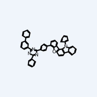 c1ccc(-c2cccc(-c3nc(-c4ccccc4)nc(-c4ccc(-c5cccc6c5oc5ccc7c8ccccc8n(-c8ccccc8)c7c56)cc4)n3)c2)cc1